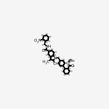 Cc1c(C)n(Cc2ccc(-c3ccccc3C(=O)OC(C)(C)C)cc2)c2ccc(C(=O)NCc3ccccc3[N+](=O)[O-])cc12